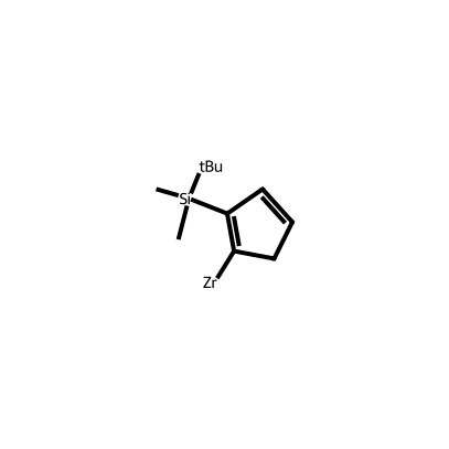 CC(C)(C)[Si](C)(C)C1=[C]([Zr])CC=C1